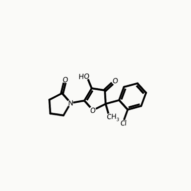 CC1(c2ccccc2Cl)OC(N2CCCC2=O)=C(O)C1=O